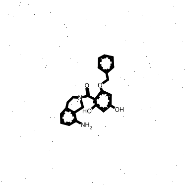 Nc1cccc2c1CN(C(=O)c1c(O)cc(O)cc1OCc1ccccc1)CC2